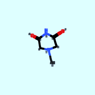 CC(=O)N1CC(=O)NC(=O)C1